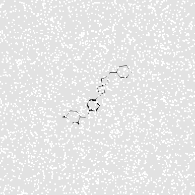 O=C1CCC(Nc2ccc(N3CC4(CN(CC5CCNCC5)C4)C3)cc2)C(=O)N1